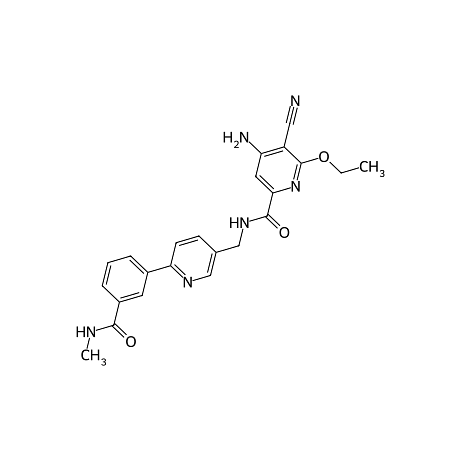 CCOc1nc(C(=O)NCc2ccc(-c3cccc(C(=O)NC)c3)nc2)cc(N)c1C#N